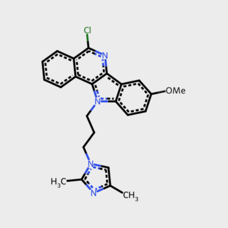 COc1ccc2c(c1)c1nc(Cl)c3ccccc3c1n2CCCn1cc(C)nc1C